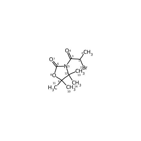 CC(Br)C(=O)N1C(=O)OC(C)(C)C1(C)C